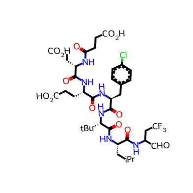 CC(C)C[C@H](NC(=O)[C@@H](NC(=O)[C@H](Cc1ccc(Cl)cc1)NC(=O)[C@H](CCC(=O)O)NC(=O)[C@H](CC(=O)O)NC(=O)CCC(=O)O)C(C)(C)C)C(=O)NC(C=O)CC(F)(F)F